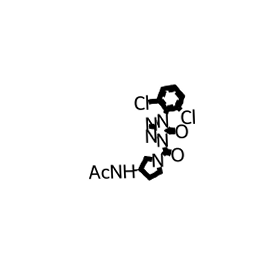 CC(=O)N[C@H]1CCN(C(=O)n2nnn(-c3c(Cl)cccc3Cl)c2=O)C1